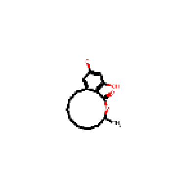 CC1CCCCCCCc2cc(O)cc(O)c2C(=O)O1